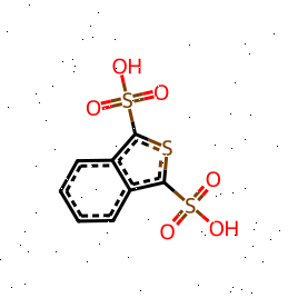 O=S(=O)(O)c1sc(S(=O)(=O)O)c2ccccc12